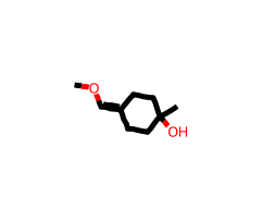 COC=C1CCC(C)(O)CC1